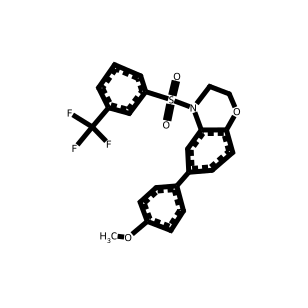 COc1ccc(-c2ccc3c(c2)N(S(=O)(=O)c2cccc(C(F)(F)F)c2)CCO3)cc1